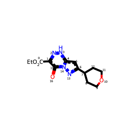 CCOC(=O)c1n[nH]c2cc(C3CCOCC3)nn2c1=O